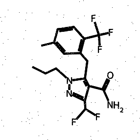 CCCn1nc(C(F)F)c(C(N)=O)c1Cc1cc(C)ccc1C(F)(F)F